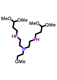 COCCN(CCPCCC(OC)OC)CCPCCC(OC)OC